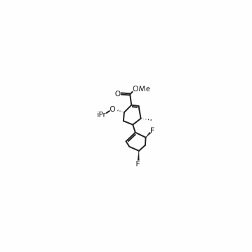 COC(=O)C1=C[C@H](C)C(C2=CC[C@H](F)C[C@@H]2F)C[C@@H]1OC(C)C